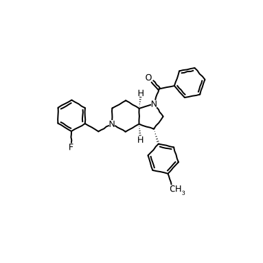 Cc1ccc([C@H]2CN(C(=O)c3ccccc3)[C@@H]3CCN(Cc4ccccc4F)C[C@H]23)cc1